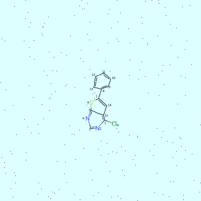 Clc1ncnc2sc(-c3ccccc3)cc12